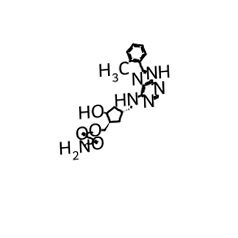 Cc1ccccc1-c1nc2c(NC[C@@H]3C[C@@H](COS(N)(=O)=O)[C@@H](O)C3)ncnc2[nH]1